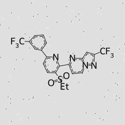 CCS(=O)(=O)c1ccc(-c2cccc(C(F)(F)F)c2)nc1-c1ccn2nc(C(F)(F)F)cc2n1